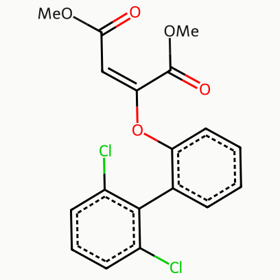 COC(=O)C=C(Oc1ccccc1-c1c(Cl)cccc1Cl)C(=O)OC